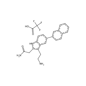 NCCc1c(CC(N)=O)[nH]c2ccc(-c3ccc4ccccc4c3)cc12.O=C(O)C(F)(F)F